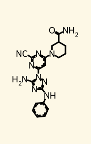 N#Cc1nc(N2CCCC(C(N)=O)C2)cc(-n2nc(Nc3ccccc3)nc2N)n1